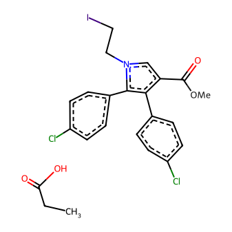 CCC(=O)O.COC(=O)c1cn(CCI)c(-c2ccc(Cl)cc2)c1-c1ccc(Cl)cc1